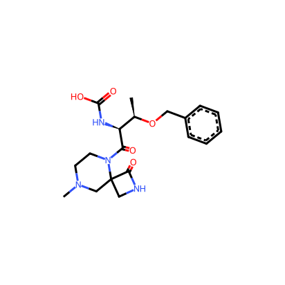 C[C@@H](OCc1ccccc1)[C@H](NC(=O)O)C(=O)N1CCN(C)CC12CNC2=O